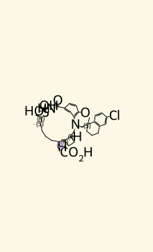 C[C@@H]1[C@@H](C)CCC/C(=C/C(=O)O)[C@@H]2CC[C@H]2CN2C[C@@]3(CCCc4cc(Cl)ccc43)COc3ccc(cc32)C(=O)NS1(O)O